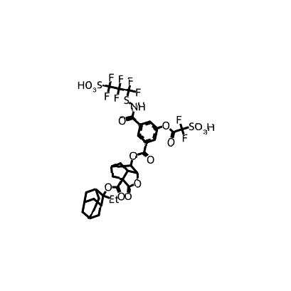 CCC1(OC(=O)C23CC4CC2C(OC3=O)C4OC(=O)c2cc(OC(=O)C(F)(F)S(=O)(=O)O)cc(C(=O)NSC(F)(F)C(F)(F)C(F)(F)S(=O)(=O)O)c2)C2CC3CC(C2)CC1C3